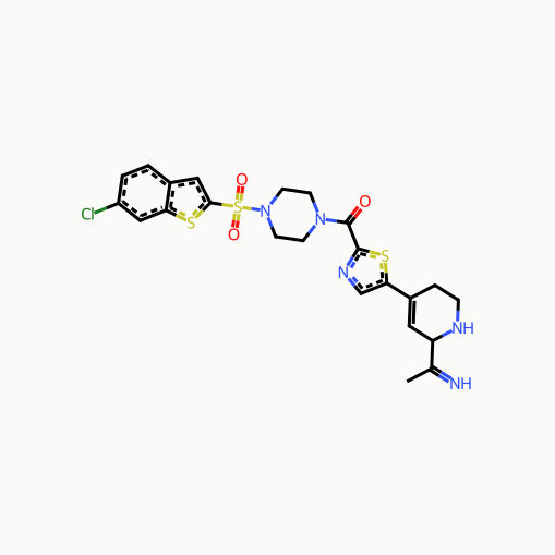 CC(=N)C1C=C(c2cnc(C(=O)N3CCN(S(=O)(=O)c4cc5ccc(Cl)cc5s4)CC3)s2)CCN1